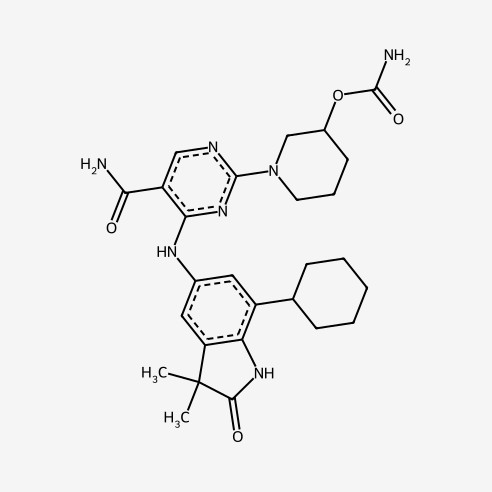 CC1(C)C(=O)Nc2c(C3CCCCC3)cc(Nc3nc(N4CCCC(OC(N)=O)C4)ncc3C(N)=O)cc21